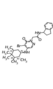 C[C@@H]1[C@@H](C)C(C)(C)[C@@H](C)C[C@H]1Nc1cnn(CC(=O)NC2CCc3ccccc32)c(=O)c1Br